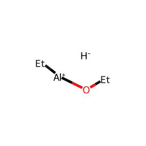 CC[O][Al+][CH2]C.[H-]